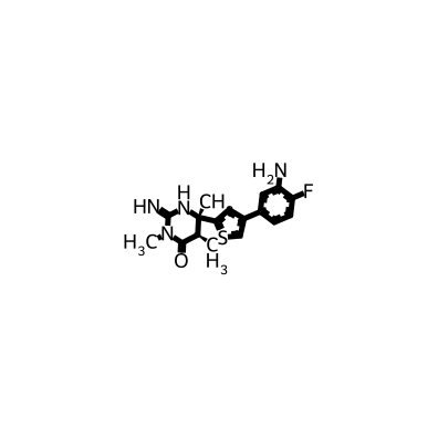 C[C@H]1C(=O)N(C)C(=N)N[C@]1(C)c1cc(-c2ccc(F)c(N)c2)cs1